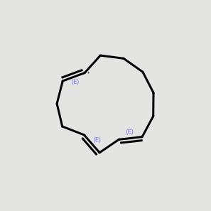 [C]1=C/CC/C=C/C=C/CCCCC/1